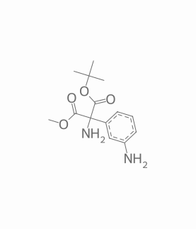 COC(=O)C(N)(C(=O)OC(C)(C)C)c1cccc(N)c1